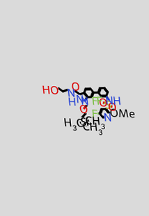 COc1ncc(F)cc1S(=O)(=O)Nc1cccc(-c2ccc3c(C(=O)NCCCO)nn(COCC[Si](C)(C)C)c3c2F)c1F